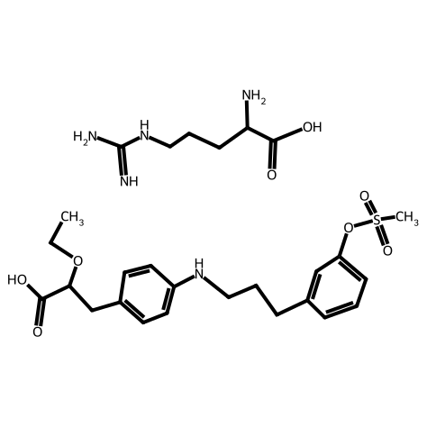 CCOC(Cc1ccc(NCCCc2cccc(OS(C)(=O)=O)c2)cc1)C(=O)O.N=C(N)NCCCC(N)C(=O)O